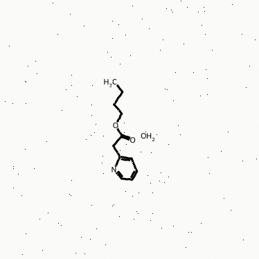 CCCCOC(=O)Cc1ccccn1.O